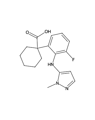 Cn1nccc1Nc1c(F)cccc1C1(C(=O)O)CCCCC1